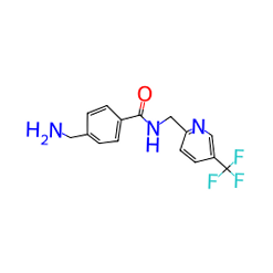 NCc1ccc(C(=O)NCc2ccc(C(F)(F)F)cn2)cc1